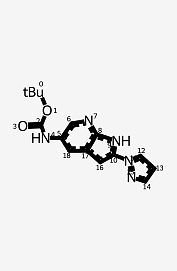 CC(C)(C)OC(=O)Nc1cnc2[nH]c(-n3cccn3)cc2c1